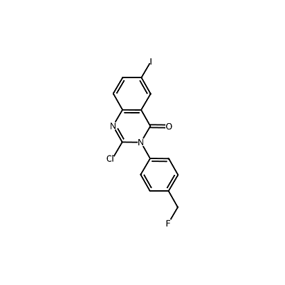 O=c1c2cc(I)ccc2nc(Cl)n1-c1ccc(CF)cc1